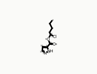 CCCCC(Cl)OC(=O)c1ccn[nH]1